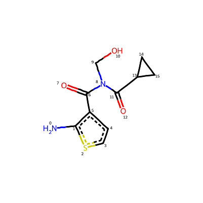 Nc1sccc1C(=O)N(CO)C(=O)C1CC1